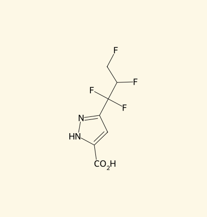 O=C(O)c1cc(C(F)(F)C(F)CF)n[nH]1